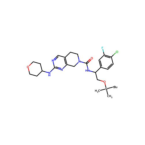 CC(C)(C)[Si](C)(C)OCC(NC(=O)N1CCc2cnc(NC3CCOCC3)nc2C1)c1ccc(Cl)c(F)c1